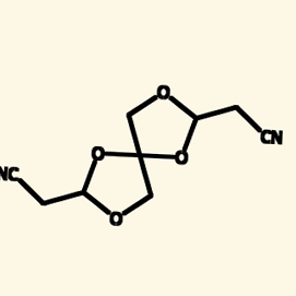 N#CCC1OCC2(COC(CC#N)O2)O1